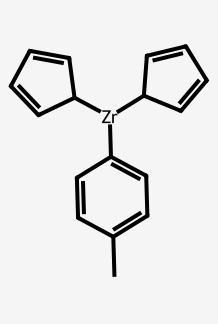 Cc1cc[c]([Zr]([CH]2C=CC=C2)[CH]2C=CC=C2)cc1